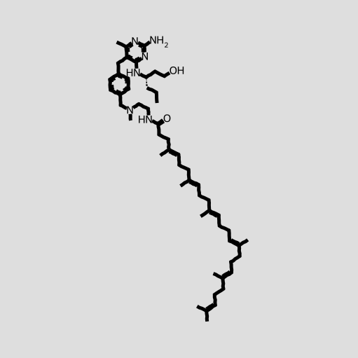 CCC[C@@H](CCO)Nc1nc(N)nc(C)c1Cc1ccc(CN(C)CCNC(=O)CC/C(C)=C/CC/C(C)=C/CC/C(C)=C/CC/C=C(\C)CC/C=C(\C)CCC=C(C)C)cc1